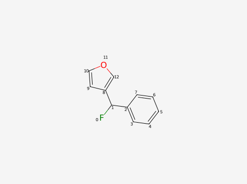 FC(c1ccccc1)c1ccoc1